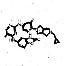 Cc1cnc(Nc2cnc(N3CC4=CN(CC5CC5)CC4C3)c(F)c2)nc1Nc1ccc2oc(=O)[nH]c2c1